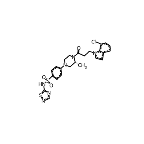 C[C@@H]1CN(c2ccc(S(=O)(=O)Nc3ncns3)cc2)CCN1C(=O)CCn1ccc2cccc(Cl)c21